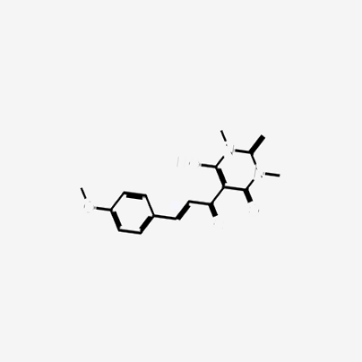 C=C1N(C)C(=O)C(C(=O)/C=C/c2ccc(OC)cc2)=C(O)N1C